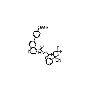 COc1ccc(-c2ccc3nccc(C(=O)NCC(=O)N4CC(F)(F)C[C@]4(C#N)c4ccccc4)c3c2)cc1